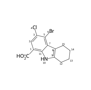 O=C(O)c1cc(Cl)c(Br)c2c3c([nH]c12)CCCC3